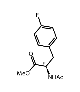 COC(=O)[C@@H](Cc1ccc(F)cc1)NC(C)=O